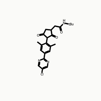 Cc1cc(-c2ncc(Cl)cn2)cc(C)c1C1C(=O)CC(CC(=O)NC(C)(C)C)C1=O